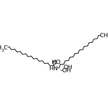 CCCCCCCCCCCCCCCCCC(=O)N[C@@H](CO)[C@H](O)[C@H](O)CCCCCCCCCCCCCCCC